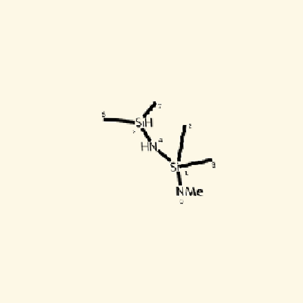 CN[Si](C)(C)N[SiH](C)C